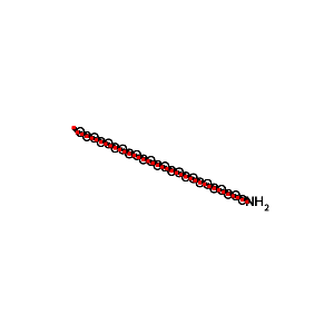 C#CCOCCOCCOCCOCCOCCOCCOCCOCCOCCOCCOCCOCCOCCOCCOCCOCCOCCOCCOCCOCCOCCOCCOCCOCCN